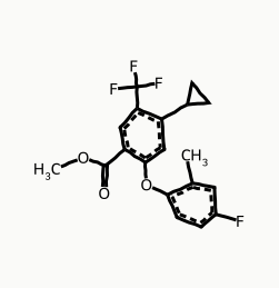 COC(=O)c1cc(C(F)(F)F)c(C2CC2)cc1Oc1ccc(F)cc1C